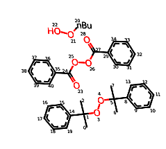 CC(C)(OOC(C)(C)c1ccccc1)c1ccccc1.CCCCOO.O=C(OOC(=O)c1ccccc1)c1ccccc1